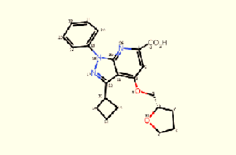 O=C(O)c1cc(OC[C@@H]2CCCO2)c2c(C3CCC3)nn(-c3ccccc3)c2n1